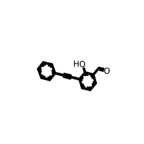 O=Cc1cccc(C#Cc2ccccc2)c1O